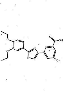 CCOc1ccc(-c2nc(-c3cc(O)cc(C(=O)O)n3)cs2)cc1OCC